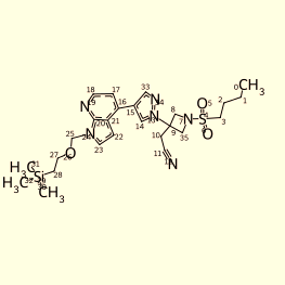 CCCCS(=O)(=O)N1CC(CC#N)(n2cc(-c3ccnc4c3ccn4COCC[Si](C)(C)C)cn2)C1